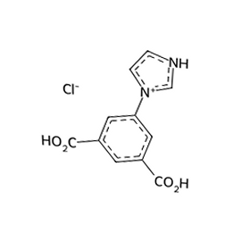 O=C(O)c1cc(C(=O)O)cc(-[n+]2cc[nH]c2)c1.[Cl-]